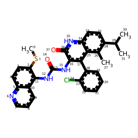 CSc1ccc2ncccc2c1NC(=O)Nc1c(-c2ccccc2Cl)c2c(C)c(C(C)C)ccc2[nH]c1=O